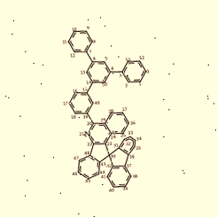 c1ccc(-c2cc(-c3ccccc3)cc(-c3cccc(-c4nc5c(c6ccccc46)C4(c6ccccc6-c6ccccc64)c4ccccc4-5)c3)c2)cc1